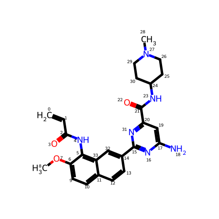 C=CC(=O)Nc1c(OC)ccc2ccc(-c3nc(N)cc(C(=O)NC4CCN(C)CC4)n3)cc12